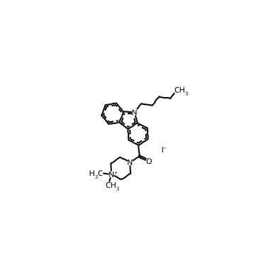 CCCCCn1c2ccccc2c2cc(C(=O)N3CC[N+](C)(C)CC3)ccc21.[I-]